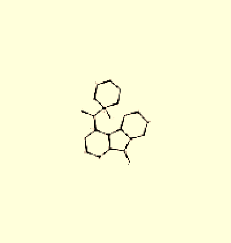 CC1C2CCCCC2C2C1CCCC2C(C)C1(C)CCCCC1